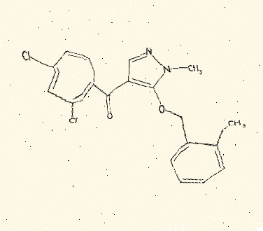 Cc1ccccc1COc1c(C(=O)c2ccc(Cl)cc2Cl)cnn1C